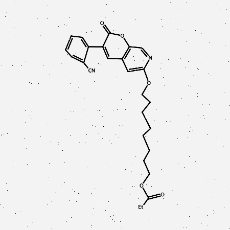 CCC(=O)OCCCCCCCCOc1cc2cc(-c3ccccc3C#N)c(=O)oc2cn1